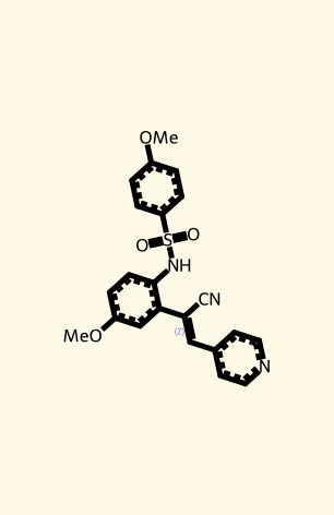 COc1ccc(S(=O)(=O)Nc2ccc(OC)cc2/C(C#N)=C/c2ccncc2)cc1